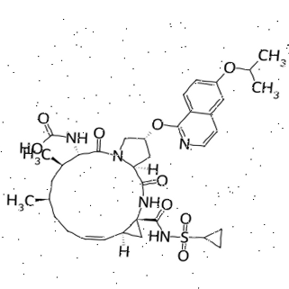 CC(C)Oc1ccc2c(O[C@@H]3C[C@H]4C(=O)N[C@]5(C(=O)NS(=O)(=O)C6CC6)C[C@H]5/C=C\CC[C@@H](C)C[C@@H](C)[C@H](NC(=O)O)C(=O)N4C3)nccc2c1